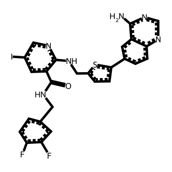 Nc1ncnc2ccc(-c3ccc(CNc4ncc(I)cc4C(=O)NCc4ccc(F)c(F)c4)s3)cc12